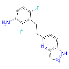 Nc1ccc(F)c(CCc2ccc3[nH]ncc3n2)c1F